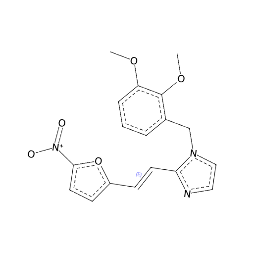 COc1cccc(Cn2ccnc2/C=C/c2ccc([N+](=O)[O-])o2)c1OC